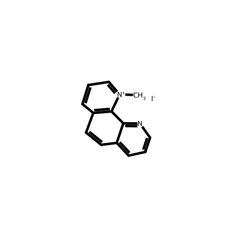 C[n+]1cccc2ccc3cccnc3c21.[I-]